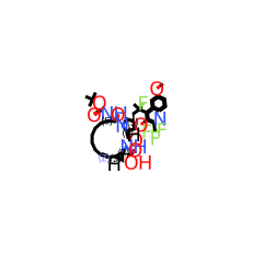 COc1ccc2nc(C(F)(F)F)c3c(c2c1)C(C)(F)C[C@]1(C[C@H]2C(=O)N[C@]4(C(=O)O)C[C@H]4/C=C\CCCCC[C@H](NC(=O)OC(C)(C)C)C(=O)N2C1)O3